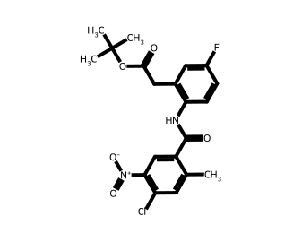 Cc1cc(Cl)c([N+](=O)[O-])cc1C(=O)Nc1ccc(F)cc1CC(=O)OC(C)(C)C